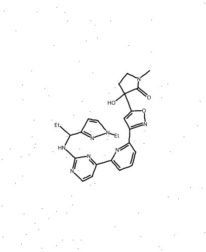 CCC(Nc1nccc(-c2cccc(-c3cc(C4(O)CCN(C)C4=O)on3)n2)n1)c1ccn(CC)n1